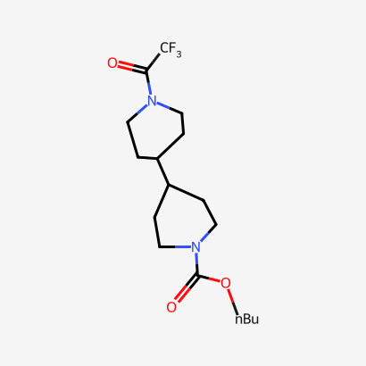 CCCCOC(=O)N1CCC(C2CCN(C(=O)C(F)(F)F)CC2)CC1